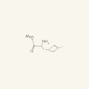 COC(=O)C(N)CC1CC(C)C1